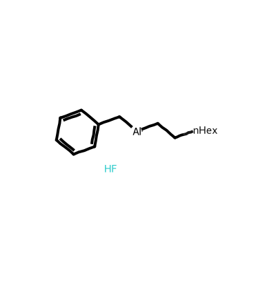 CCCCCCC[CH2][Al][CH2]c1ccccc1.F